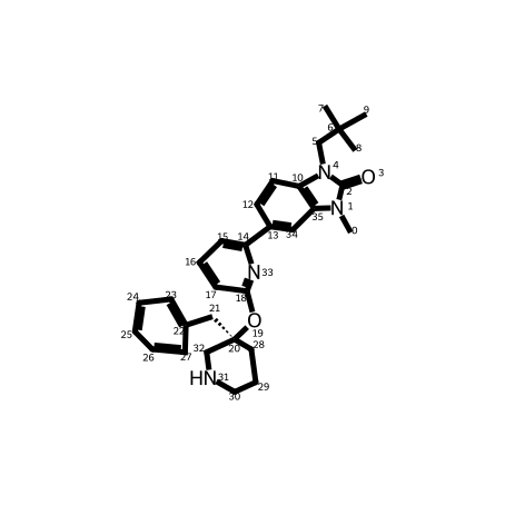 Cn1c(=O)n(CC(C)(C)C)c2ccc(-c3cccc(O[C@@]4(Cc5ccccc5)CCCNC4)n3)cc21